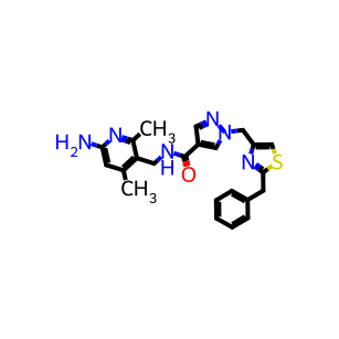 Cc1cc(N)nc(C)c1CNC(=O)c1cnn(Cc2csc(Cc3ccccc3)n2)c1